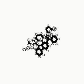 CCCCN(CC(F)(F)F)C(=O)C1c2ccccc2-c2ccc(C(=O)c3ccccc3N3CCCC3=O)c(N3CCCCC3N)c21